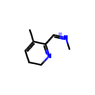 C/N=C\C1=NCCC=C1C